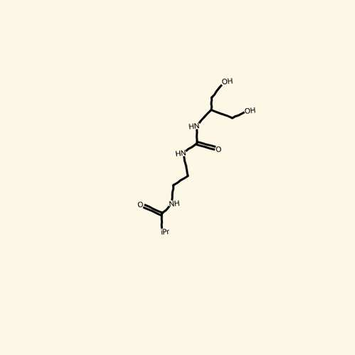 CC(C)C(=O)NCCNC(=O)NC(CO)CO